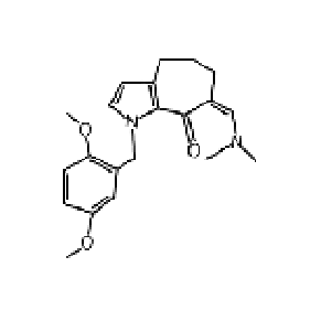 COc1ccc(OC)c(Cn2ccc3c2C(=O)C(=CN(C)C)CCC3)c1